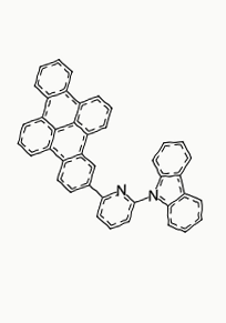 c1cc(-c2ccc3c(c2)c2cccc4c5ccccc5c5cccc3c5c42)nc(-n2c3ccccc3c3ccccc32)c1